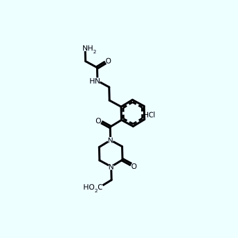 Cl.NCC(=O)NCCc1ccccc1C(=O)N1CCN(CC(=O)O)C(=O)C1